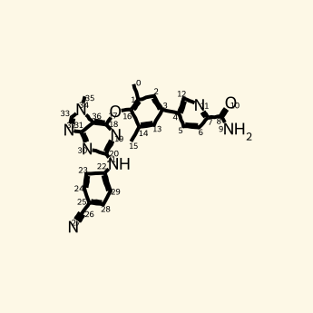 Cc1cc(-c2ccc(C(N)=O)nc2)cc(C)c1Oc1nc(Nc2ccc(C#N)cc2)nc2ncn(C)c12